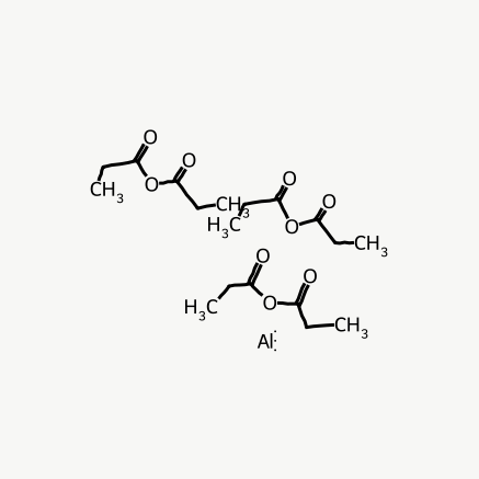 CCC(=O)OC(=O)CC.CCC(=O)OC(=O)CC.CCC(=O)OC(=O)CC.[Al]